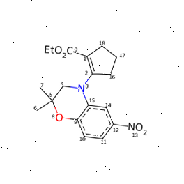 CCOC(=O)C1=C(N2CC(C)(C)Oc3ccc([N+](=O)[O-])cc32)CCC1